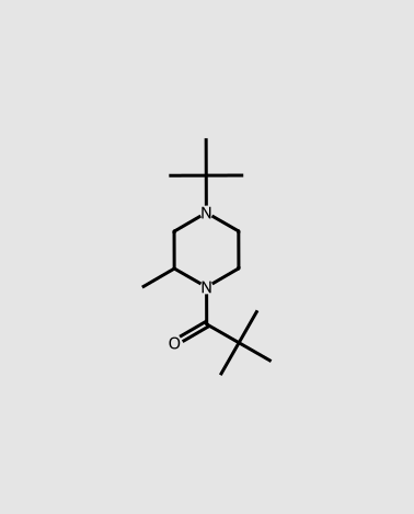 CC1CN(C(C)(C)C)CCN1C(=O)C(C)(C)C